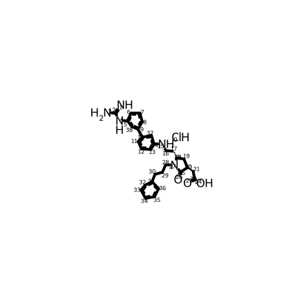 Cl.N=C(N)Nc1cccc(-c2cccc(NCC[C@@H]3C[C@@H](CC(=O)O)C(=O)N3CCCc3ccccc3)c2)c1